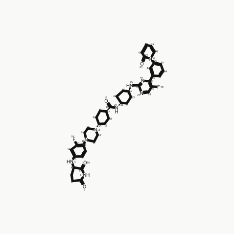 O=C1CCC(Nc2ccc(N3CCN([C@H]4CC[C@H](C(=O)N[C@H]5CC[C@H](Nc6ncc(F)c(-c7cccc(-n8ccccc8=O)c7)n6)CC5)CC4)CC3)c(F)c2)C(=O)N1